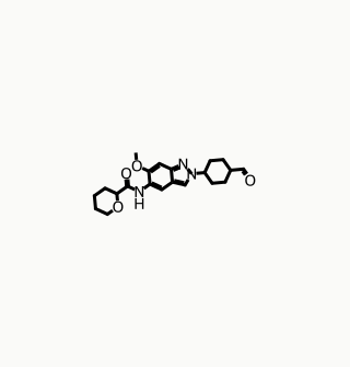 COc1cc2nn(C3CCC(C=O)CC3)cc2cc1NC(=O)C1CCCCO1